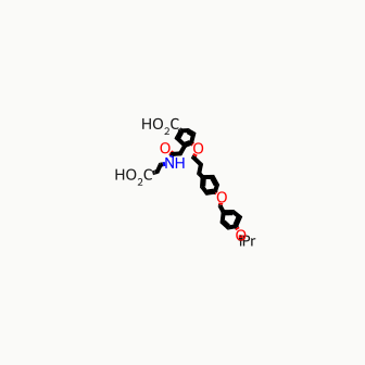 CC(C)Oc1ccc(COc2ccc(CCCOc3ccc(C(=O)O)cc3CC(=O)NCCC(=O)O)cc2)cc1